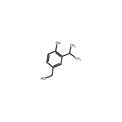 CC(C)c1cc(CO)ccc1O